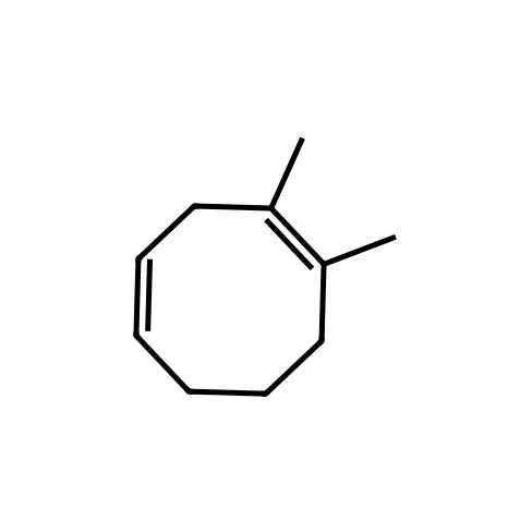 CC1=C(C)CCCC=CC1